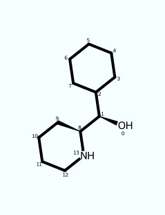 O[C@H](C1CCCCC1)[C@@H]1CCCCN1